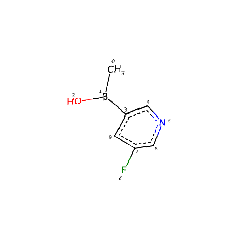 CB(O)c1cncc(F)c1